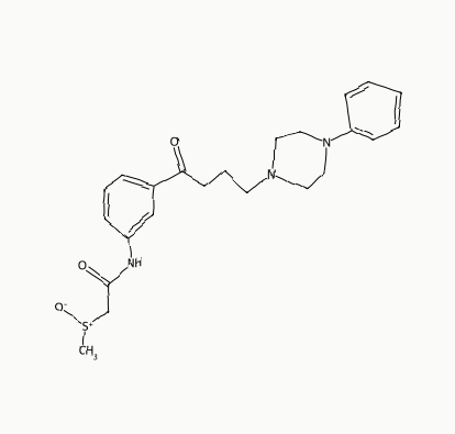 C[S+]([O-])CC(=O)Nc1cccc(C(=O)CCCN2CCN(c3ccccc3)CC2)c1